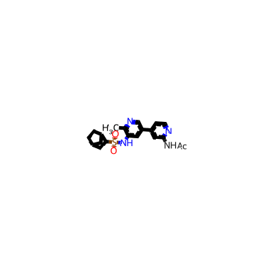 CC(=O)Nc1cc(-c2cnc(C)c(NS(=O)(=O)C3CC4CCC3C4)c2)ccn1